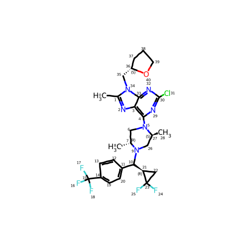 Cc1nc2c(N3C[C@@H](C)N(C(c4ccc(C(F)(F)F)cc4)[C@H]4CC4(F)F)C[C@@H]3C)nc(Cl)nc2n1C[C@@H]1CCCO1